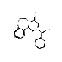 O=C(C1CCCCC1)N1CC(=O)N2CCOc3ccccc3C2C1